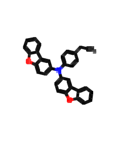 CCc1ccc(N(c2ccc3oc4ccccc4c3c2)c2ccc3oc4ccccc4c3c2)cc1